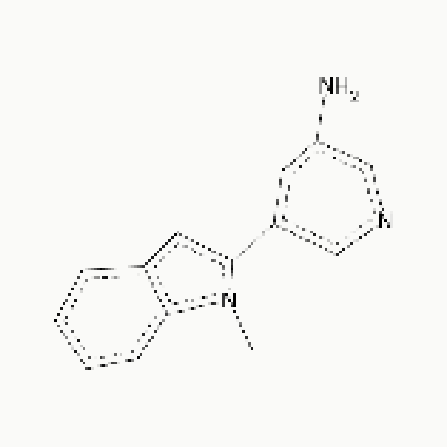 Cn1c(-c2cncc(N)c2)cc2ccccc21